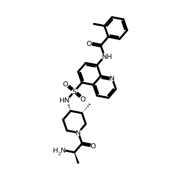 Cc1ccccc1C(=O)Nc1ccc(S(=O)(=O)N[C@H]2CCN(C(=O)[C@@H](C)N)C[C@H]2C)c2cccnc12